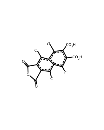 O=C(O)c1c(C(=O)O)c(Cl)c2c(Cl)c3c(c(Cl)c2c1Cl)C(=O)OC3=O